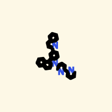 c1ccc(-c2ccc(-n3c4ccc(-c5ccc6ccccc6n5)cc4c4c5ccccc5ccc43)cn2)nc1